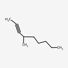 [CH2]C#CC(C)CCCCC